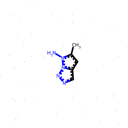 Cc1cc2cnnn2n1N